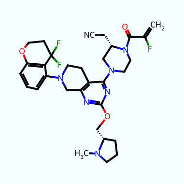 C=C(F)C(=O)N1CCN(c2nc(OC[C@@H]3CCCN3C)nc3c2CCN(c2cccc4c2C(F)(F)CCO4)C3)C[C@@H]1CC#N